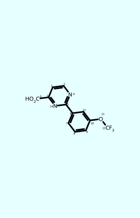 O=C(O)c1ccnc(-c2cccc(OC(F)(F)F)c2)n1